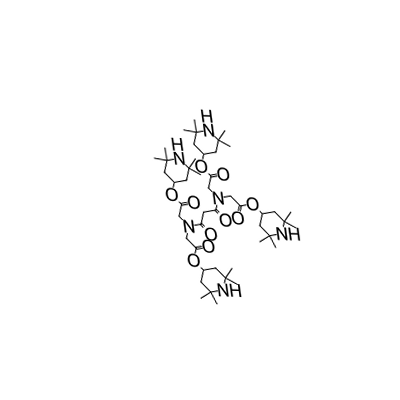 CC1(C)CC(OC(=O)CN(CC(=O)OC2CC(C)(C)NC(C)(C)C2)C(=O)CC(=O)N(CC(=O)OC2CC(C)(C)NC(C)(C)C2)CC(=O)OC2CC(C)(C)NC(C)(C)C2)CC(C)(C)N1